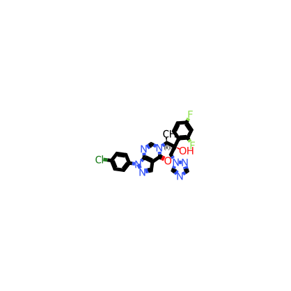 C[C@@H](n1cnc2c(cnn2-c2ccc(Cl)cc2)c1=O)[C@](O)(Cn1cncn1)c1ccc(F)cc1F